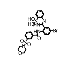 O=C(Nc1ccc(Br)cc1C1=Nc2ccccc2S(O)(O)N1)c1cccc(S(=O)(=O)N2CCOCC2)c1